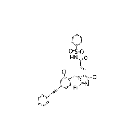 CCc1nc(Cl)c(C=CC(=O)NS(=O)(=O)c2ccc(C)cc2)n1Cc1ccc(C#Cc2ccccc2)cc1Cl